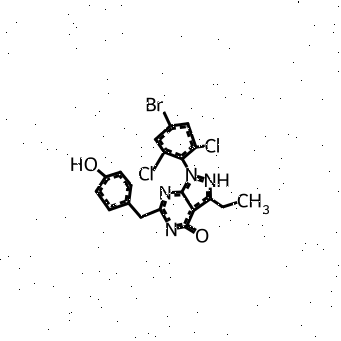 CCc1[nH]n(-c2c(Cl)cc(Br)cc2Cl)c2nc(Cc3ccc(O)cc3)nc(=O)c1-2